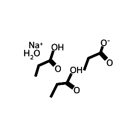 CCC(=O)O.CCC(=O)O.CCC(=O)[O-].O.[Na+]